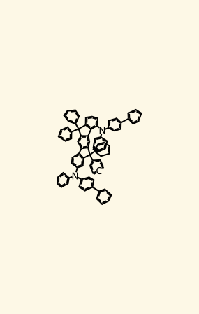 c1ccc(N(c2ccc(-c3ccccc3)cc2)c2cccc3c2-c2cc4c(cc2C3(c2ccccc2)c2ccccc2)-c2ccc(N(c3ccccc3)c3ccc(-c5ccccc5)cc3)cc2C4(c2ccccc2)C2C=CC=CC2)cc#1